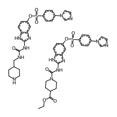 CCOC(=O)C1CCN(C(=O)Nc2nc3cc(OS(=O)(=O)c4ccc(-n5ccnc5)cc4)ccc3[nH]2)CC1.O=C(NCC1CCNCC1)Nc1nc2cc(OS(=O)(=O)c3ccc(-n4ccnc4)cc3)ccc2[nH]1